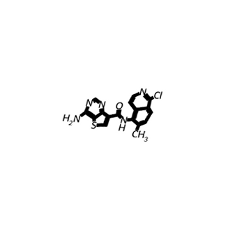 Cc1ccc2c(Cl)nccc2c1NC(=O)c1csc2c(N)ncnc12